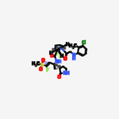 Cc1c(Cl)cccc1NCC(=O)N1[C@H]2CC[C@@H]([C@H]1C(=O)N[C@H](/C=C(\F)S(C)(=O)=O)C[C@@H]1CCNC1=O)C(F)(F)C2